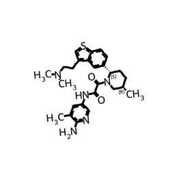 Cc1cc(NC(=O)C(=O)N2C[C@H](C)CC[C@H]2c2ccc3scc(CCN(C)C)c3c2)cnc1N